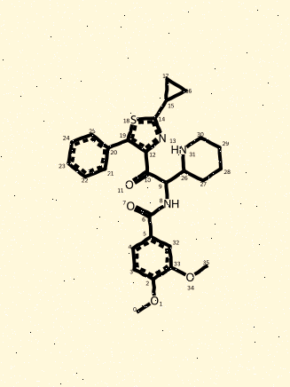 COc1ccc(C(=O)NC(C(=O)c2nc(C3CC3)sc2-c2ccccc2)C2CCCCN2)cc1OC